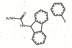 CC(=O)NC(=O)NC1c2ccccc2-c2ccccc21.Fc1ccccc1